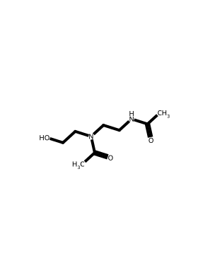 CC(=O)NCCN(CCO)C(C)=O